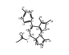 CC(=O)C[C@@H]1N=C(c2cnc(C)nc2)c2c(sc(C)c2C)-n2c(C)nnc21